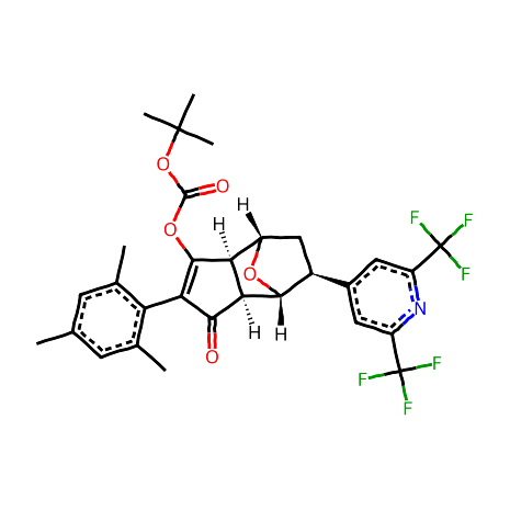 Cc1cc(C)c(C2=C(OC(=O)OC(C)(C)C)[C@@H]3[C@H](C2=O)[C@@H]2O[C@H]3C[C@H]2c2cc(C(F)(F)F)nc(C(F)(F)F)c2)c(C)c1